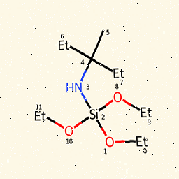 CCO[Si](NC(C)(CC)CC)(OCC)OCC